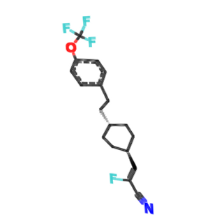 N#CC(F)=C[C@H]1CC[C@H](CCc2ccc(OC(F)(F)F)cc2)CC1